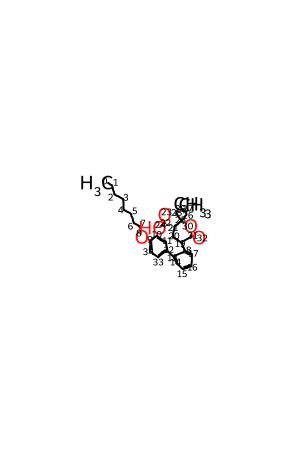 CCCCCCCCOc1ccc(-c2ccccc2C2C[C@H](C(=O)O)C(CC)(CC)OC2=O)cc1